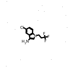 Nc1cn(CCC(F)(F)F)c2ccc(Cl)cc12